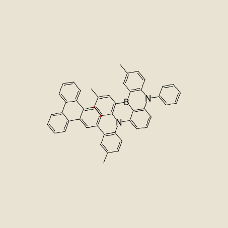 Cc1ccc2c(c1)B1c3cc(C)ccc3N(c3ccc(C)cc3-c3ccc4c5ccccc5c5ccccc5c4c3)c3cccc(c31)N2c1ccccc1